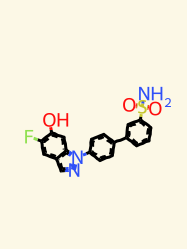 NS(=O)(=O)c1cccc(-c2ccc(-n3ncc4cc(F)c(O)cc43)cc2)c1